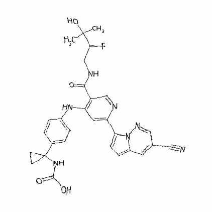 CC(C)(O)C(F)CNC(=O)c1cnc(-c2ccc3cc(C#N)cnn23)cc1Nc1ccc(C2(NC(=O)O)CC2)cc1